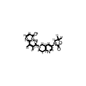 Cc1c(N2CCc3ncc(N4CC(C)(C)OC4=O)cc3C2)nn2c(=O)ccnc2c1C